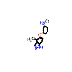 CCN[C@@H]1CCC[C@@H](Oc2ccc3[nH]ncc3c2C)C1